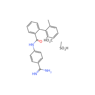 CS(=O)(=O)O.Cc1cccc(C(=O)O)c1-c1ccccc1C(=O)Nc1ccc(C(=N)N)cc1